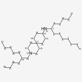 CCCCCCCC(CCCCC)NC1CCC2(CC1)CCN(CC(CCCC)CCCCC)CC2